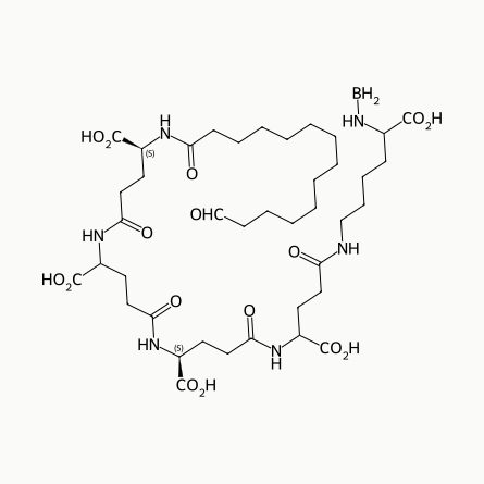 BNC(CCCCNC(=O)CCC(NC(=O)CC[C@H](NC(=O)CCC(NC(=O)CC[C@H](NC(=O)CCCCCCCCCCCCC=O)C(=O)O)C(=O)O)C(=O)O)C(=O)O)C(=O)O